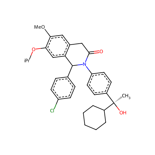 COc1cc2c(cc1OC(C)C)C(c1ccc(Cl)cc1)N(c1ccc([C@@](C)(O)C3CCCCC3)cc1)C(=O)C2